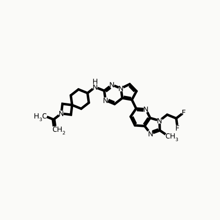 C=C(C)N1CC2(CCC(Nc3ncc4c(-c5ccc6nc(C)n(CC(F)F)c6n5)ccn4n3)CC2)C1